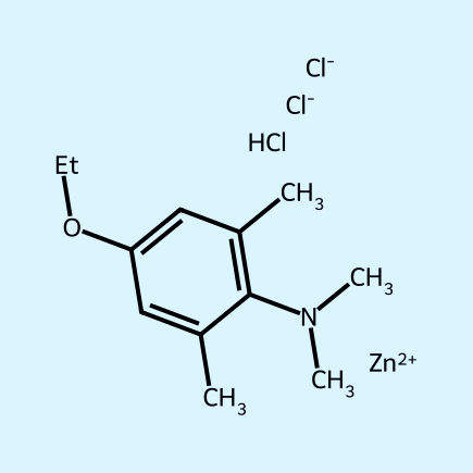 CCOc1cc(C)c(N(C)C)c(C)c1.Cl.[Cl-].[Cl-].[Zn+2]